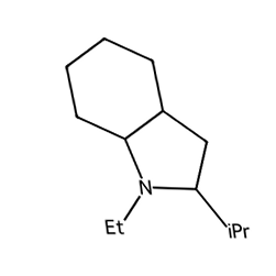 CCN1C(C(C)C)CC2CCCCC21